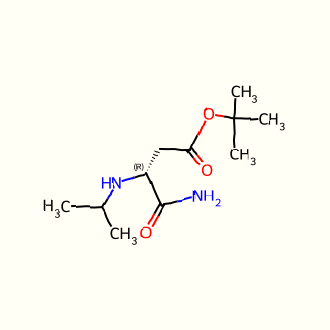 CC(C)N[C@H](CC(=O)OC(C)(C)C)C(N)=O